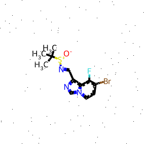 CC(C)(C)[S+]([O-])/N=C/c1ncn2ccc(Br)c(F)c12